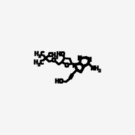 CC(C)(C)COCC1OC(n2c(C#CCO)cc3c(N)ncnc32)CC1O